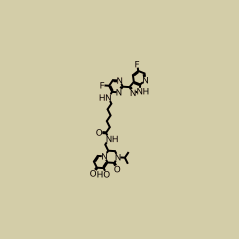 CC(C)N1CC(CNC(=O)CCCCCNc2nc(-c3n[nH]c4ncc(F)cc34)ncc2F)n2ccc(=O)c(O)c2C1=O